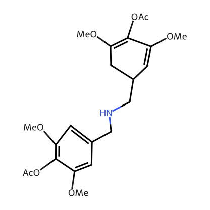 COC1=CC(CNCc2cc(OC)c(OC(C)=O)c(OC)c2)CC(OC)=C1OC(C)=O